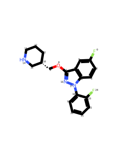 Fc1ccc2c(c1)c(OC[C@H]1CCCNC1)nn2-c1ccccc1F